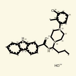 CCCC(NC(=O)c1ccc2c(c1)[nH]c1ccccc12)N1CCN(c2cccc(Cl)c2C)CC1.Cl